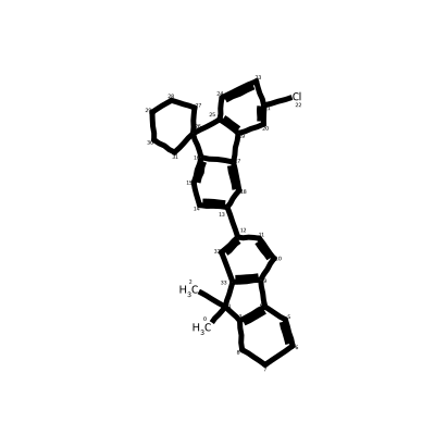 CC1(C)C2=C(C=CCC2)c2ccc(-c3ccc4c(c3)-c3cc(Cl)ccc3C43CCCCC3)cc21